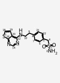 NS(=O)(=O)Cc1ccc(CCNc2ncnc3sccc23)cc1